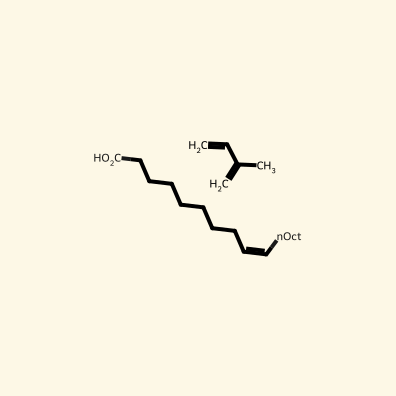 C=CC(=C)C.CCCCCCCC/C=C\CCCCCCCC(=O)O